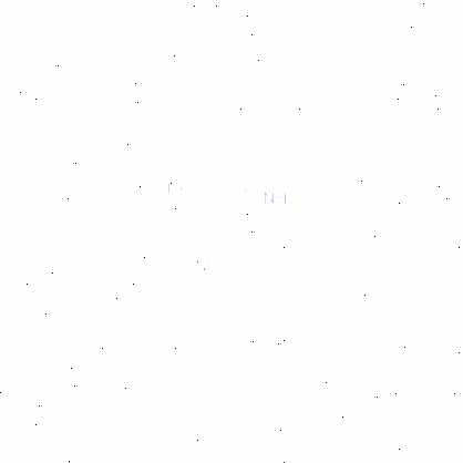 Cl.NCC1CCC(N)C1